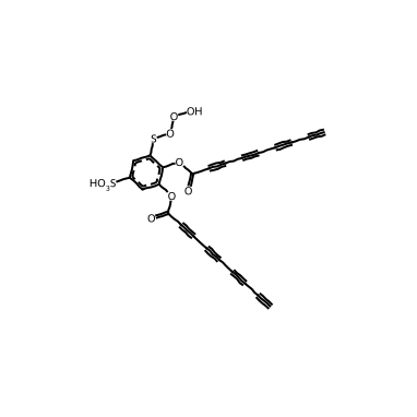 C#CC#CC#CC#CC(=O)Oc1cc(S(=O)(=O)O)cc(SOOO)c1OC(=O)C#CC#CC#CC#C